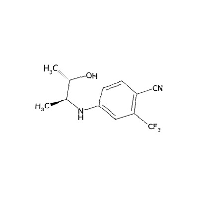 C[C@H](O)[C@H](C)Nc1ccc(C#N)c(C(F)(F)F)c1